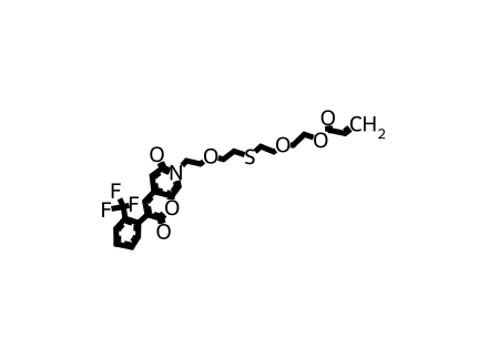 C=CC(=O)OCCOCCSCCOCCn1cc2oc(=O)c(-c3ccccc3C(F)(F)F)cc2cc1=O